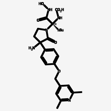 CCCC[C@@](NC(=O)O)(C(=O)NO)N1CCC(N)(c2ccc(OCc3cc(C)nc(C)c3)cc2)C1=O